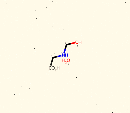 O.O=C(O)CNCO